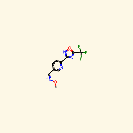 CO/N=C\c1ccc(-c2noc(C(F)(F)F)n2)nc1